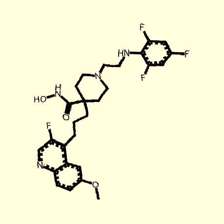 COc1ccc2ncc(F)c(CCCC3(C(=O)NO)CCN(CCNc4c(F)cc(F)cc4F)CC3)c2c1